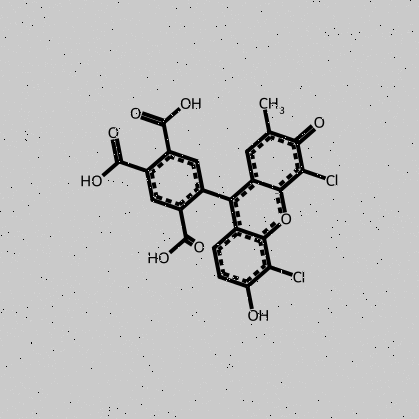 Cc1cc2c(-c3cc(C(=O)O)c(C(=O)O)cc3C(=O)O)c3ccc(O)c(Cl)c3oc-2c(Cl)c1=O